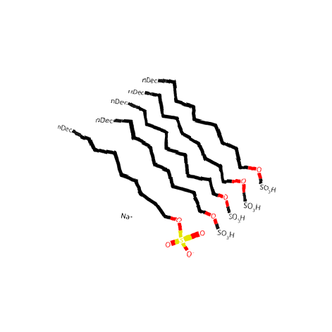 CCCCCCCCCCCCCCCCCCOS(=O)(=O)O.CCCCCCCCCCCCCCCCCCOS(=O)(=O)O.CCCCCCCCCCCCCCCCCCOS(=O)(=O)O.CCCCCCCCCCCCCCCCCCOS(=O)(=O)O.CCCCCCCCCCCCCCCCCCOS(=O)(=O)[O-].[Na+]